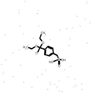 CCOC(Cl)(OCC)c1ccc(CP(=O)(O)O)cc1